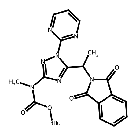 CC(c1nc(N(C)C(=O)OC(C)(C)C)nn1-c1ncccn1)N1C(=O)c2ccccc2C1=O